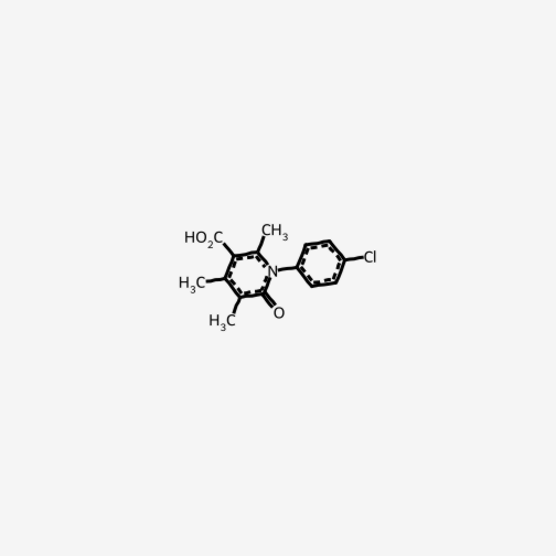 Cc1c(C(=O)O)c(C)n(-c2ccc(Cl)cc2)c(=O)c1C